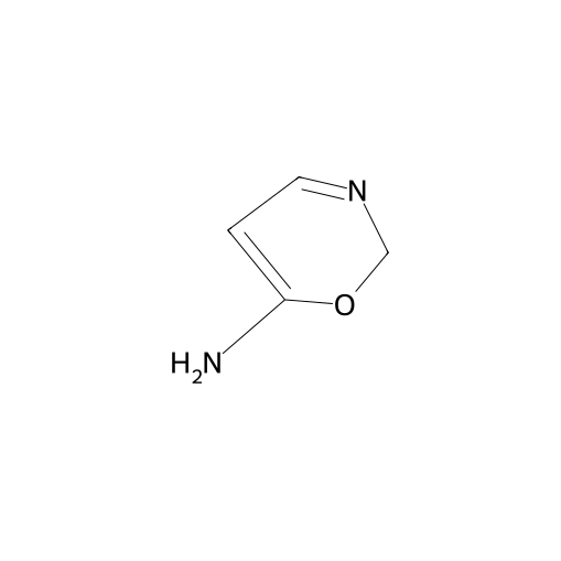 NC1=CC=NCO1